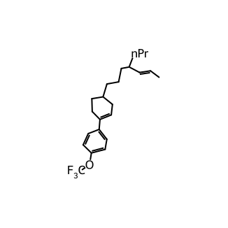 C/C=C/C(CCC)CCCC1CC=C(c2ccc(OC(F)(F)F)cc2)CC1